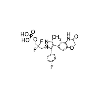 Cc1nn(CC(F)(F)COP(=O)(O)O)c(-c2ccc(F)cc2)c1-c1ccc2c(c1)NC(=O)CO2